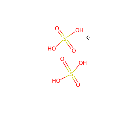 O=S(=O)(O)O.O=S(=O)(O)O.[K]